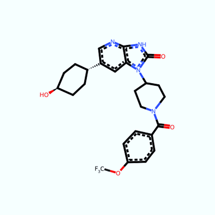 O=C(c1ccc(OC(F)(F)F)cc1)N1CCC(n2c(=O)[nH]c3ncc([C@H]4CC[C@H](O)CC4)cc32)CC1